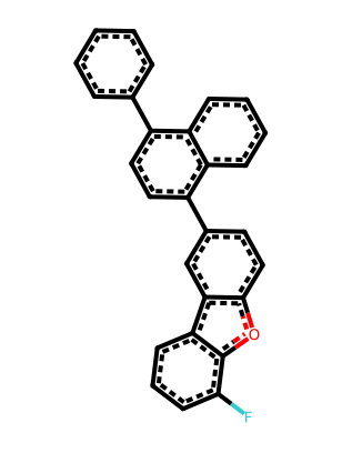 Fc1cccc2c1oc1ccc(-c3ccc(-c4ccccc4)c4ccccc34)cc12